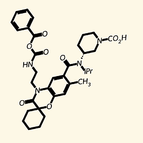 Cc1cc2c(cc1C(=O)N(C(C)C)[C@@H]1CCCN(C(=O)O)C1)N(CCNC(=O)OC(=O)c1ccccc1)C(=O)C1(CCCCC1)O2